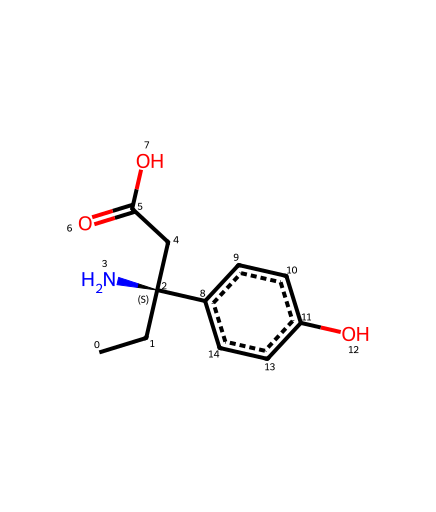 CC[C@](N)(CC(=O)O)c1ccc(O)cc1